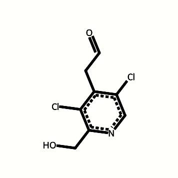 O=CCc1c(Cl)cnc(CO)c1Cl